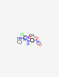 COc1cc(C(=O)N2CCOCC2)ccc1Nc1ncc(Cl)c(NC2CCCCC2)n1